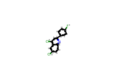 Fc1ccc(-c2cc(Cl)c3cc(Cl)ccc3n2)cc1